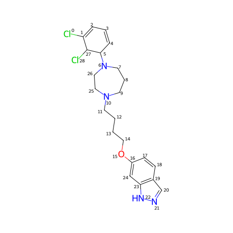 ClC1=CC=CC(N2CCCN(CCCCOc3ccc4cn[nH]c4c3)CC2)C1Cl